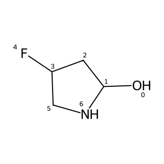 OC1CC(F)CN1